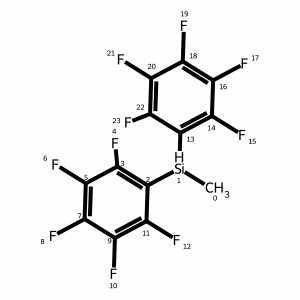 C[SiH](c1c(F)c(F)c(F)c(F)c1F)c1c(F)c(F)c(F)c(F)c1F